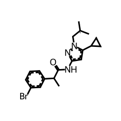 C[C](C)Cn1nc(NC(=O)C(C)c2cccc(Br)c2)cc1C1CC1